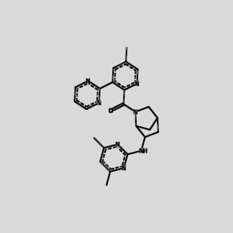 Cc1cnc(C(=O)N2CC3CC(Nc4nc(C)cc(C)n4)C2C3)c(-c2ncccn2)c1